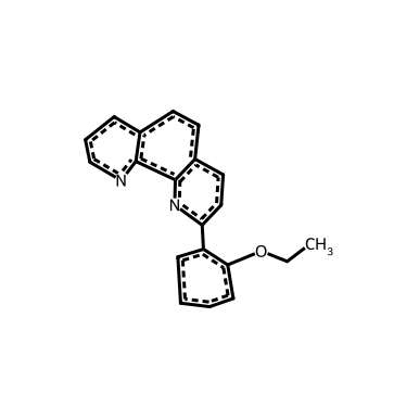 CCOc1ccccc1-c1ccc2ccc3cccnc3c2n1